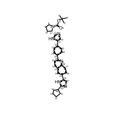 CC(C)(C)OC(=O)N1CCC[C@H]1c1ncc(-c2ccc(-c3ccc4cc(-c5cnc(C6CCCC6)[nH]5)ccc4n3)cc2)[nH]1